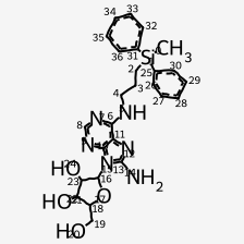 C[Si](CCCNc1ncnc2c1nc(N)n2C1OC(CO)C(O)C1O)(c1ccccc1)c1ccccc1